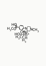 CC(C)(O)C(C)(C)O.COB(O)c1ccc(N2CCN(C)CC2)cc1